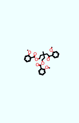 COc1ccccc1C(=O)CC(C)(CCOC(=O)c1ccccc1OC)CCOC(=O)c1ccccc1OC